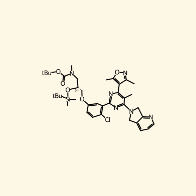 Cc1noc(C)c1-c1nc(-c2cc(OC[C@@H](CN(C)C(=O)OC(C)(C)C)O[Si](C)(C)C(C)(C)C)ccc2Cl)nc(N2Cc3cccnc3C2)c1C